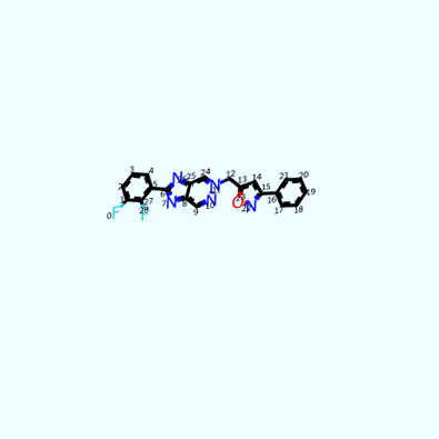 Fc1cccc(-c2nc3cnn(Cc4cc(-c5ccccc5)no4)cc-3n2)c1F